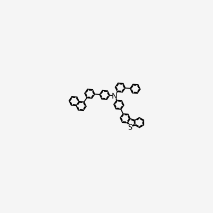 c1ccc(-c2cccc(N(c3ccc(-c4cccc(-c5cccc6ccccc56)c4)cc3)c3ccc(-c4ccc5sc6ccccc6c5c4)cc3)c2)cc1